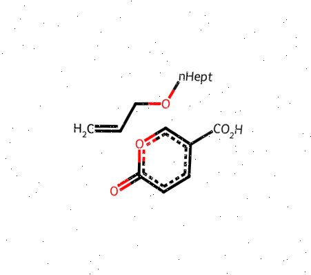 C=CCOCCCCCCC.O=C(O)c1ccc(=O)oc1